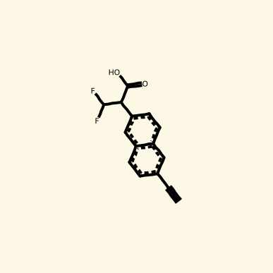 C#Cc1ccc2cc(C(C(=O)O)C(F)F)ccc2c1